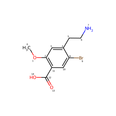 COc1cc(CCN)c(Br)cc1C(=O)O